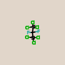 FC(F)([Si](Cl)(Cl)Cl)[Si](Cl)(Cl)Cl